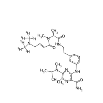 [2H]C([2H])([2H])N(C/C=C/C(=O)N(C)[C@@H](C)C(=O)NCCc1cccc(Nc2nc(N(C)C(C)C)c(C)nc2C(N)=O)c1)C([2H])([2H])[2H]